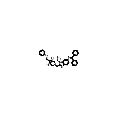 Cn1c(CN2C[C@@H]3C(COc4ccccc4)[C@@H]3C2)nc2ccc(N=C(c3ccccc3)c3ccccc3)cc21